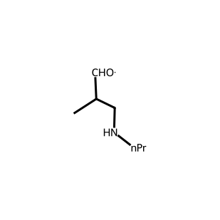 CCCNCC(C)[C]=O